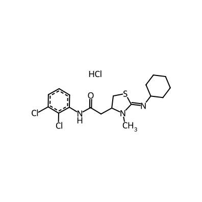 CN1C(=NC2CCCCC2)SCC1CC(=O)Nc1cccc(Cl)c1Cl.Cl